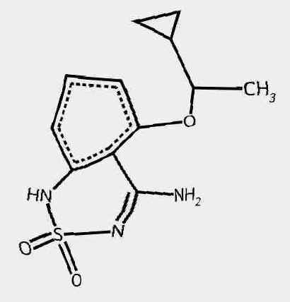 CC(Oc1cccc2c1C(N)=NS(=O)(=O)N2)C1CC1